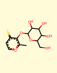 Cc1occc(=S)c1OC1OC(CO)C(O)C(O)C1O